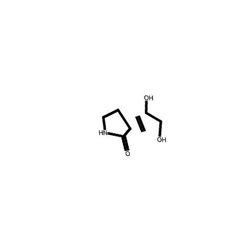 C=C.O=C1CCCN1.OCCO